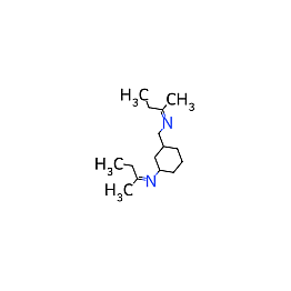 CCC(C)=NCC1CCCC(N=C(C)CC)C1